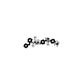 O=C(/N=C(\S)Nc1ccccc1Cc1ccccc1)Nc1ccc(C2N=CN(c3ccc(OC(F)(F)F)cc3)N2)cc1